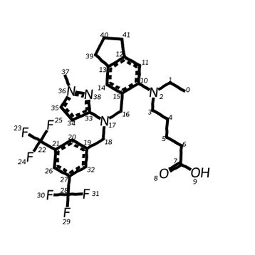 CCN(CCCCC(=O)O)c1cc2c(cc1CN(Cc1cc(C(F)(F)F)cc(C(F)(F)F)c1)c1ccn(C)n1)CCC2